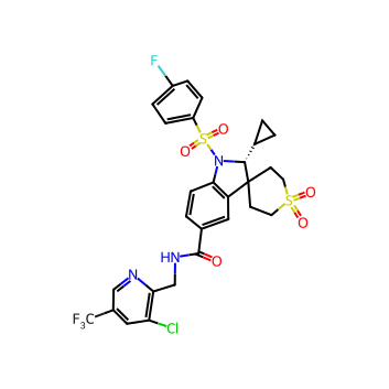 O=C(NCc1ncc(C(F)(F)F)cc1Cl)c1ccc2c(c1)C1(CCS(=O)(=O)CC1)[C@@H](C1CC1)N2S(=O)(=O)c1ccc(F)cc1